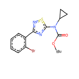 CC(C)(C)OC(=O)N(c1nc(-c2ccccc2Br)ns1)C1CC1